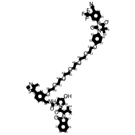 Cc1ncsc1-c1ccc(CNC(=O)[C@@H]2C[C@@H](O)CN2C(=O)C(C(C)C)N2Cc3ccccc3C2=O)c(OCCOCCOCCOCCOCCOCCOc2ccc(N3C(=O)N(c4ccc(C#N)c(C(F)(F)F)c4)C(=O)C3(C)C)cc2)c1